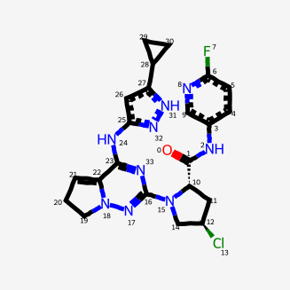 O=C(Nc1ccc(F)nc1)[C@@H]1C[C@@H](Cl)CN1C1=NN2CCC=C2C(Nc2cc(C3CC3)[nH]n2)=N1